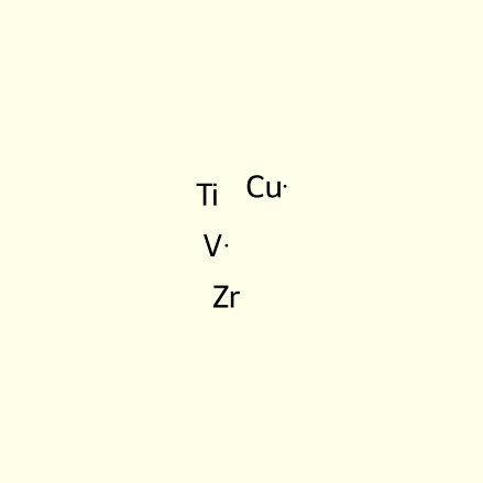 [Cu].[Ti].[V].[Zr]